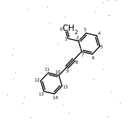 C=Cc1ccccc1C#Cc1ccccc1